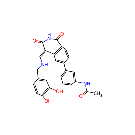 CC(=O)Nc1cccc(-c2ccc3c(c2)/C(=C\NCc2ccc(O)c(O)c2)C(=O)NC3=O)c1